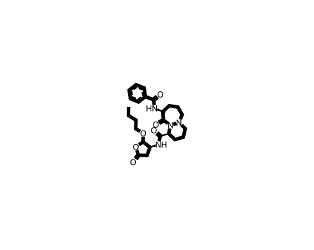 CCCCOC1OC(=O)C[C@@H]1NC(=O)[C@@H]1CCCN2CCC[C@H](NC(=O)c3ccccc3)C(=O)N12